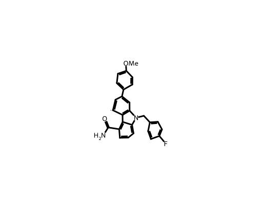 COc1ccc(-c2c[c]c3c4c(C(N)=O)cccc4n(Cc4ccc(F)cc4)c3c2)cc1